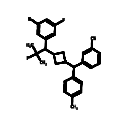 Cc1ccc(C(c2cccc(C#N)c2)N2CC(C(c3cc(F)cc(F)c3)C(C)(C)F)C2)cc1